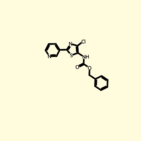 O=C(Nc1sc(-c2cccnc2)nc1Cl)OCc1ccccc1